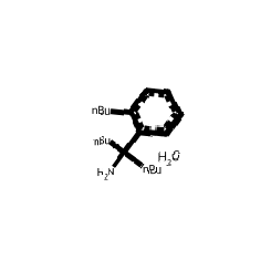 CCCCc1ccccc1C(N)(CCCC)CCCC.O